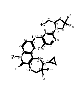 Cn1c(=O)c2c(c3cc(Nc4nc(N5CC(F)(F)C[C@@H]5CO)ncc4Cl)ccc31)N[C@@H](C1CC1)C(F)(F)CO2